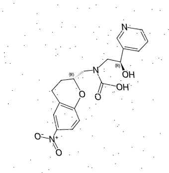 O=C(O)N(C[C@H]1CCc2cc([N+](=O)[O-])ccc2O1)C[C@H](O)c1cccnc1